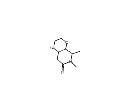 CC1C2OCCNC2CC(=O)N1C